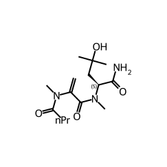 C=C(C(=O)N(C)[C@@H](CC(C)(C)O)C(N)=O)N(C)C(=O)CCC